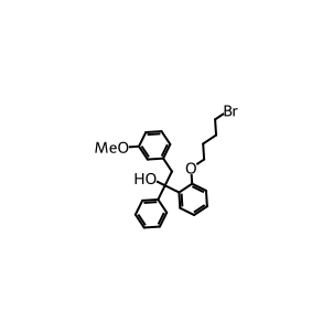 COc1cccc(CC(O)(c2ccccc2)c2ccccc2OCCCCBr)c1